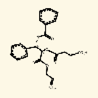 C=CCOC(=O)[C@H](OC(=O)CCC(=O)O)[C@@H](NC(=O)c1ccccc1)c1ccccc1